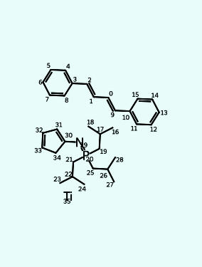 C(C=Cc1ccccc1)=Cc1ccccc1.CC(C)CP(CC(C)C)(CC(C)C)=NC1=CC=CC1.[Ti]